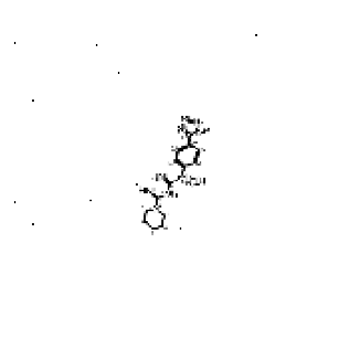 Cl.N=C(NC(=N)N1CCCCC1)Nc1ccc(-c2nnn[nH]2)cc1